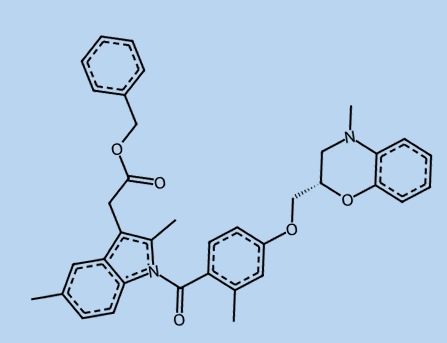 Cc1ccc2c(c1)c(CC(=O)OCc1ccccc1)c(C)n2C(=O)c1ccc(OC[C@@H]2CN(C)c3ccccc3O2)cc1C